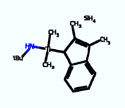 CC1=C(C)[CH]([Ti]([CH3])([CH3])[NH]C(C)(C)C)c2ccccc21.[SiH4]